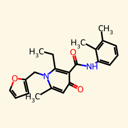 CCc1c(C(=O)Nc2cccc(C)c2C)c(=O)cc(C)n1Cc1ccco1